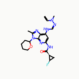 C=CN(C)/N=C\Nc1cc(NC(=O)[C@H]2C[C@H]2F)nc2c1nc(C)n2C1CCCCO1